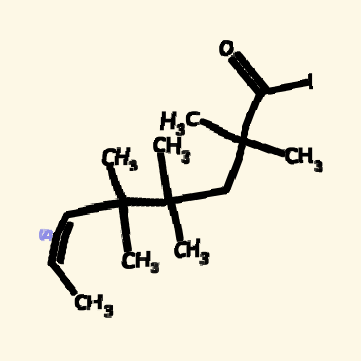 C/C=C\C(C)(C)C(C)(C)CC(C)(C)C(=O)I